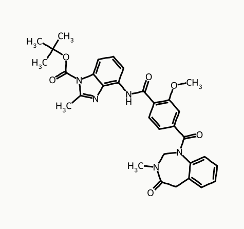 COc1cc(C(=O)N2CN(C)C(=O)Cc3ccccc32)ccc1C(=O)Nc1cccc2c1nc(C)n2C(=O)OC(C)(C)C